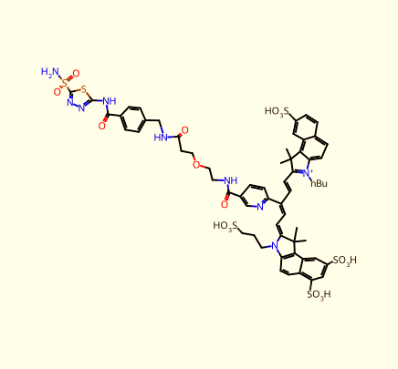 CCCC[N+]1=C(/C=C/C(=C/C=C2/N(CCCS(=O)(=O)O)c3ccc4c(S(=O)(=O)O)cc(S(=O)(=O)O)cc4c3C2(C)C)c2ccc(C(=O)NCCOCCC(=O)NCc3ccc(C(=O)Nc4nnc(S(N)(=O)=O)s4)cc3)cn2)C(C)(C)c2c1ccc1ccc(S(=O)(=O)O)cc21